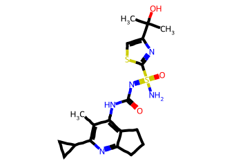 Cc1c(C2CC2)nc2c(c1NC(=O)N=S(N)(=O)c1nc(C(C)(C)O)cs1)CCC2